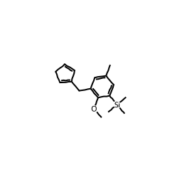 COc1c(CC2=CCC=C2)cc(C)cc1[Si](C)(C)C